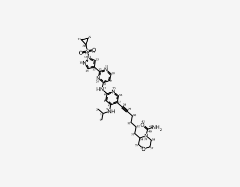 CC(C)Nc1cc(Nc2ccnc(-c3cnn(S(=O)(=O)C4CC4)c3)n2)ncc1C#CCCCCC1COCCN1C(N)=O